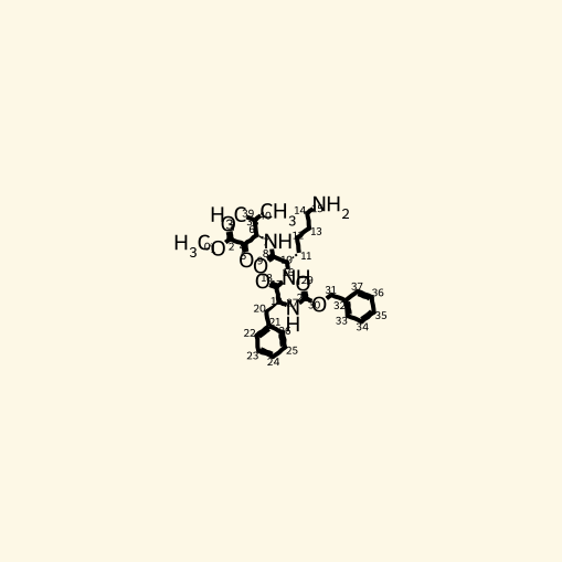 COC(=O)C(=O)[C@@H](NC(=O)[C@H](CCCCN)NC(=O)[C@H](Cc1ccccc1)NC(=O)OCc1ccccc1)C(C)C